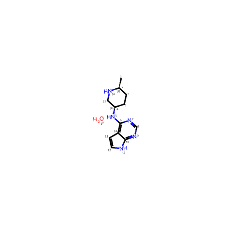 C[C@H]1CC[C@@H](Nc2ncnc3[nH]ccc23)CN1.O